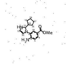 COC(=O)c1ccc(N)c(N2C=CNC2C2CCCC2)c1